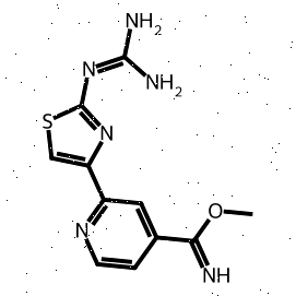 COC(=N)c1ccnc(-c2csc(N=C(N)N)n2)c1